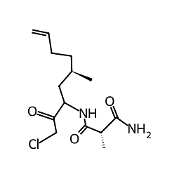 C=CCC[C@@H](C)CC(NC(=O)[C@@H](C)C(N)=O)C(=O)CCl